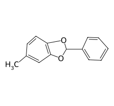 Cc1ccc2c(c1)OC(c1ccccc1)O2